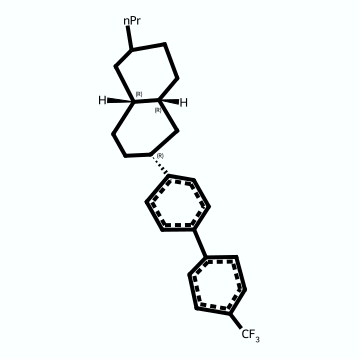 CCCC1CC[C@@H]2C[C@H](c3ccc(-c4ccc(C(F)(F)F)cc4)cc3)CC[C@@H]2C1